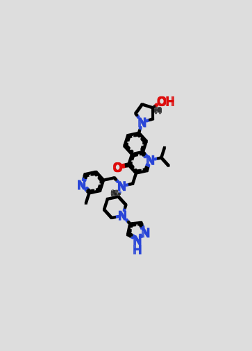 Cc1cc(CN(Cc2cn(C(C)C)c3cc(N4CC[C@@H](O)C4)ccc3c2=O)[C@H]2CCCN(c3cn[nH]c3)C2)ccn1